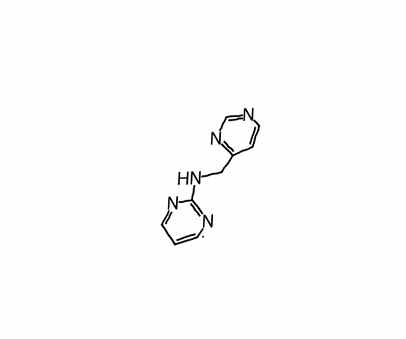 [c]1ccnc(NCc2ccncn2)n1